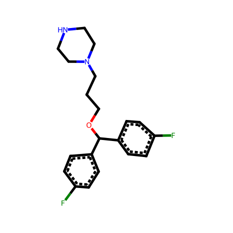 Fc1ccc(C(OCCCN2CCNCC2)c2ccc(F)cc2)cc1